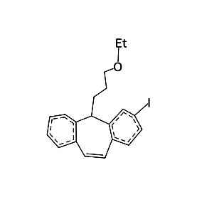 CCOCCCC1c2ccccc2C=Cc2ccc(I)cc21